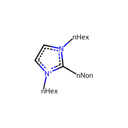 CCCCCCCCCc1n(CCCCCC)cc[n+]1CCCCCC